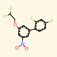 O=[N+]([O-])c1cc(OCC(F)F)cc(-c2ccc(F)cc2F)c1